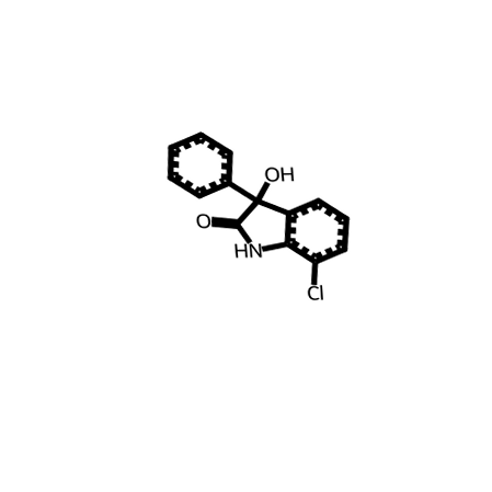 O=C1Nc2c(Cl)cccc2C1(O)c1ccccc1